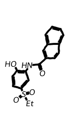 CCS(=O)(=O)c1ccc(O)c(NC(=O)c2ccc3ccccc3c2)c1